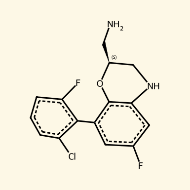 NC[C@H]1CNc2cc(F)cc(-c3c(F)cccc3Cl)c2O1